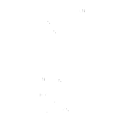 CC(C)(C#N)Cn1cc(-c2ccc3c(C#N)cnn3c2)cn1